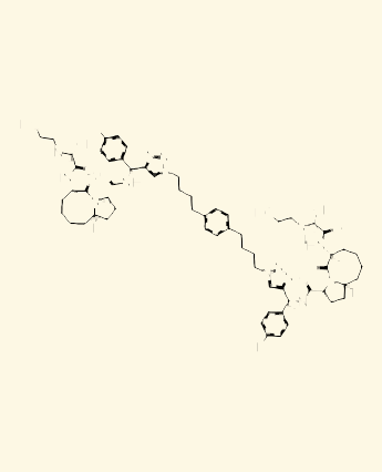 CCCN[C@@H](C)C(=O)N[C@H]1CCCC[C@H]2CC[C@@H](C(=O)N[C@@H](c3ccc(F)cc3)c3cn(CCCCc4ccc(CCCCn5cc([C@@H](NC(=O)[C@@H]6CC[C@@H]7CCCC[C@H](NC(=O)[C@H](C)NCCO)C(=O)N76)c6ccc(F)cc6)nn5)cc4)nn3)N2C1=O